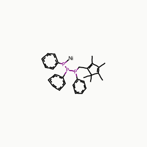 CC1=C(C)C(C)(C)C(CP(c2ccccc2)P(c2ccccc2)[P]([Ni])c2ccccc2)=C1C